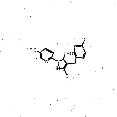 CC1=C(Cc2ccc(Cl)cc2)C(C=O)N(c2ccc(C(F)(F)F)cn2)N1